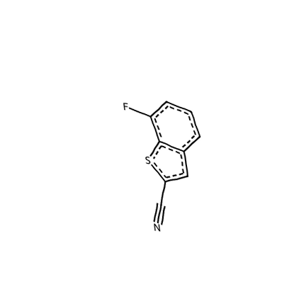 N#Cc1cc2cccc(F)c2s1